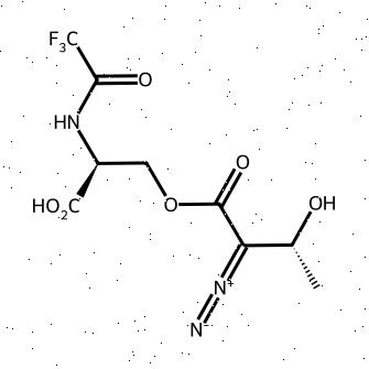 C[C@@H](O)C(=[N+]=[N-])C(=O)OC[C@H](NC(=O)C(F)(F)F)C(=O)O